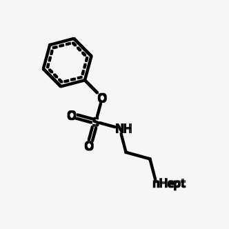 CCCCCCCCCNS(=O)(=O)Oc1ccccc1